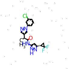 CC(C(=O)Nc1cc([C@H]2CC2(F)F)n[nH]1)c1cnn(-c2cccc(Cl)c2)c1